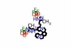 Cc1nc[nH]c1/C=C/c1cc(/C=C/c2[nH]cnc2C)[n+]2c(c1)-c1c(ccc3c1-c1cccc[n+]1CC3)CC2.O=S(=O)([O-])C(F)(F)F.O=S(=O)([O-])C(F)(F)F